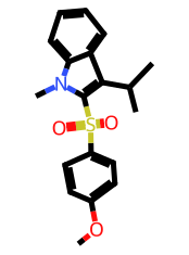 COc1ccc(S(=O)(=O)c2c(C(C)C)c3ccccc3n2C)cc1